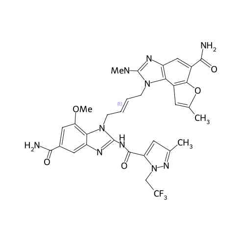 CNc1nc2cc(C(N)=O)c3oc(C)cc3c2n1C/C=C/Cn1c(NC(=O)c2cc(C)nn2CC(F)(F)F)nc2cc(C(N)=O)cc(OC)c21